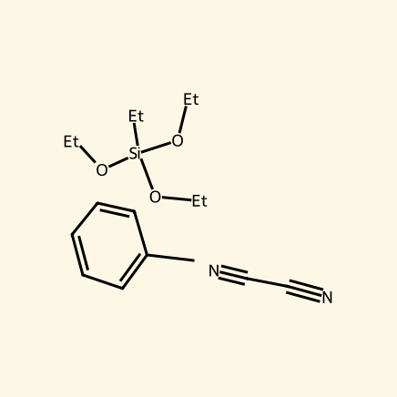 CCO[Si](CC)(OCC)OCC.Cc1ccccc1.N#CC#N